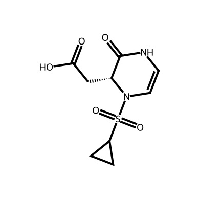 O=C(O)C[C@@H]1C(=O)NC=CN1S(=O)(=O)C1CC1